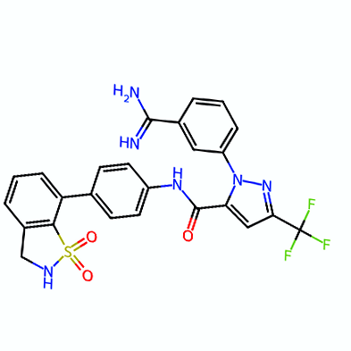 N=C(N)c1cccc(-n2nc(C(F)(F)F)cc2C(=O)Nc2ccc(-c3cccc4c3S(=O)(=O)NC4)cc2)c1